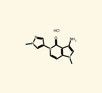 Cl.Cn1cc(-n2ccc3c(c(N)cn3C)c2=O)cn1